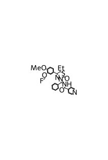 CCC1SC(=O)N(C(NC(=O)c2ccncc2)c2ccccc2)N=C1c1ccc(OC)c(OCF)c1